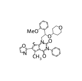 COc1ccccc1C(Cn1c(=O)n(-c2ccccc2)c(=O)c2c(C)c(-c3ncco3)sc21)OC1CCOCC1